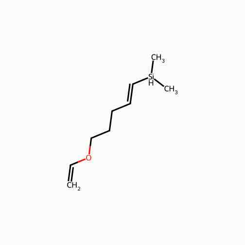 C=COCCCC=C[SiH](C)C